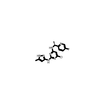 Cc1cc(Nc2nc(Cl)cc(N[C@@H](C)c3ccc(F)cn3)n2)n[nH]1